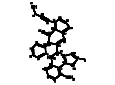 Cc1nnc(-c2c(N)ncnc2NC(C)c2nc3cccc(C#CCO)c3c(=O)n2-c2ccccc2)o1